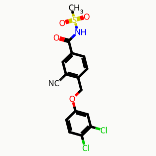 CS(=O)(=O)NC(=O)c1ccc(COc2ccc(Cl)c(Cl)c2)c(C#N)c1